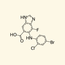 O=C(O)c1cc2[nH]cnc2c(F)c1Nc1ccc(Br)cc1Cl